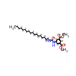 CCCCCCCCCCCCCCCCCCNC(=O)Nc1cc(C(=O)OC)cc(C(=O)OC)c1